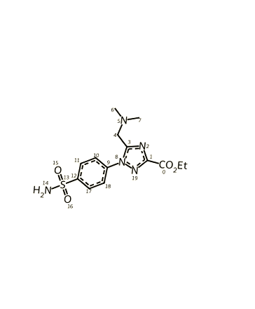 CCOC(=O)c1nc(CN(C)C)n(-c2ccc(S(N)(=O)=O)cc2)n1